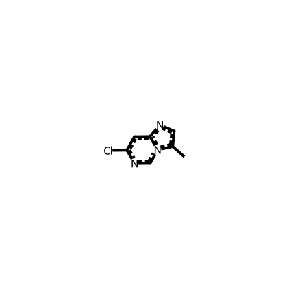 Cc1cnc2cc(Cl)ncn12